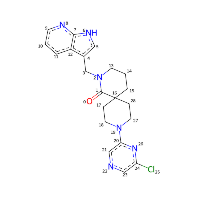 O=C1N(Cc2c[nH]c3ncccc23)CCCC12CCN(c1cncc(Cl)n1)CC2